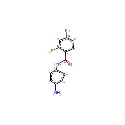 Nc1ccc(NC(=O)c2ccc(F)cc2F)cc1